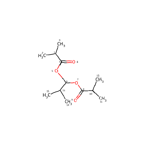 CC(C)C(=O)OC(OC(=O)C(C)C)C(C)C